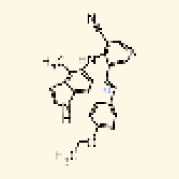 CCOc1ccc(/C=C/c2cncc(C#N)c2Nc2ccc3[nH]ccc3c2C)cc1